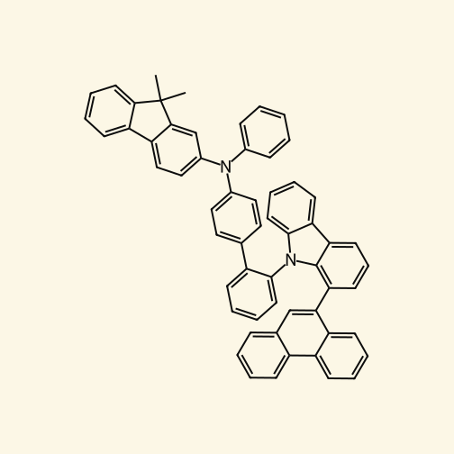 CC1(C)c2ccccc2-c2ccc(N(c3ccccc3)c3ccc(-c4ccccc4-n4c5ccccc5c5cccc(-c6cc7ccccc7c7ccccc67)c54)cc3)cc21